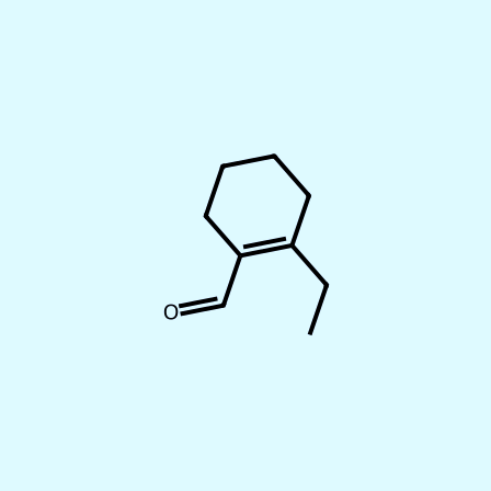 CCC1=C(C=O)CCCC1